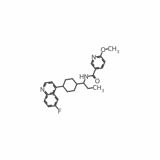 CCC(NC(=O)c1ccc(OC)nc1)C1CCC(c2ccnc3ccc(F)cc23)CC1